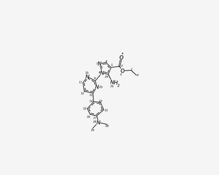 CCOC(=O)c1cnn(-c2nccc(-c3ccc(N(C)C)cc3)n2)c1N